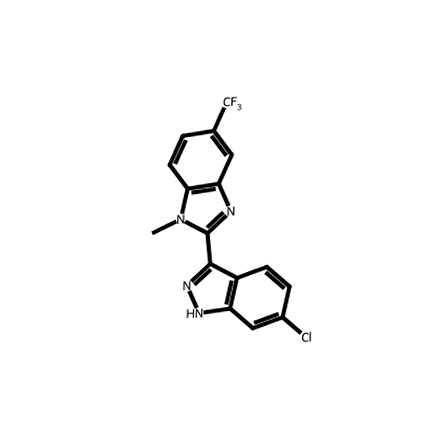 Cn1c(-c2n[nH]c3cc(Cl)ccc23)nc2cc(C(F)(F)F)ccc21